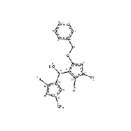 CCn1nc(OCc2ccccc2)c(C(O)c2cn(C)nc2I)c1Br